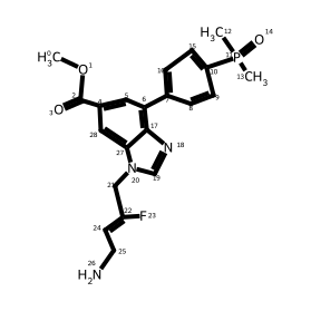 COC(=O)c1cc(-c2ccc(P(C)(C)=O)cc2)c2ncn(C/C(F)=C/CN)c2c1